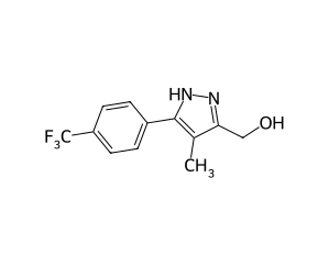 Cc1c(CO)n[nH]c1-c1ccc(C(F)(F)F)cc1